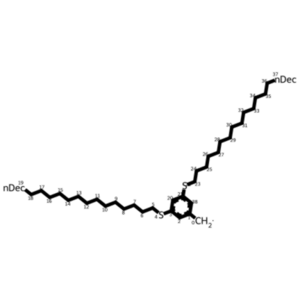 [CH2]c1cc(SCCCCCCCCCCCCCCCCCCCCCCCC)cc(SCCCCCCCCCCCCCCCCCCCCCCCC)c1